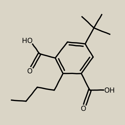 CCCCc1c(C(=O)O)cc(C(C)(C)C)cc1C(=O)O